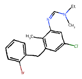 CCN(C)/C=N\c1cc(Cl)cc(Cc2ccccc2Br)c1C